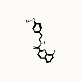 COc1ccc(CCNC(=O)c2ccc3cccc(F)c3n2)cc1